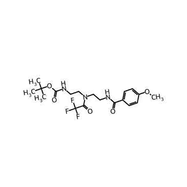 COc1ccc(C(=O)NCCN(CCNC(=O)OC(C)(C)C)C(=O)C(F)(F)F)cc1